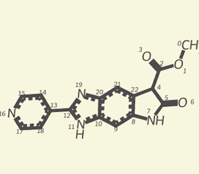 COC(=O)C1C(=O)Nc2cc3[nH]c(-c4ccncc4)nc3cc21